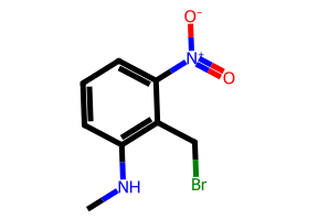 CNc1cccc([N+](=O)[O-])c1CBr